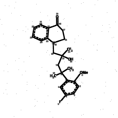 COc1ccc(F)cc1C(C)(C)CC(O)(CN1CCC(=O)c2ncccc21)C(F)(F)F